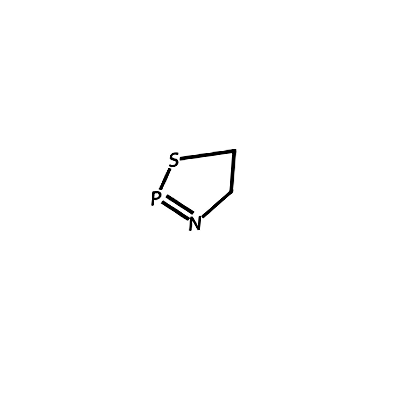 C1CSP=N1